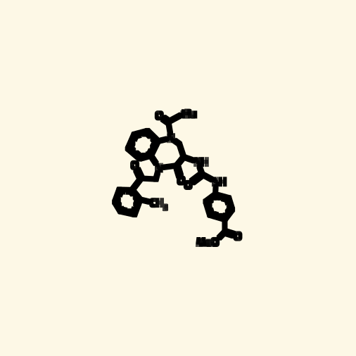 COC(=O)c1ccc(NC(=O)NC2CN(C(=O)C(C)(C)C)c3ccccc3N(CC(=O)c3ccccc3C)C2=O)cc1